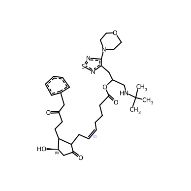 CC(C)(C)NCC(Cc1nsnc1N1CCOCC1)OC(=O)CCC/C=C\CC1C(=O)C[C@@H](O)C1CCC(=O)Cc1ccccc1